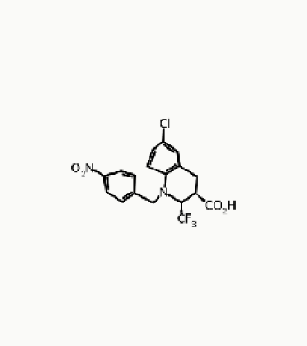 O=C(O)[C@@H]1Cc2cc(Cl)ccc2N(Cc2ccc([N+](=O)[O-])cc2)[C@@H]1C(F)(F)F